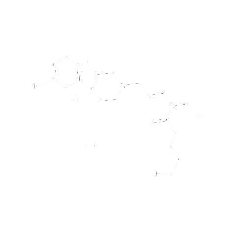 CC(C)CN(CCCN1CCC(C)(c2cccc(O)c2)C(C)C1)C(=O)CCCC(=O)O.O